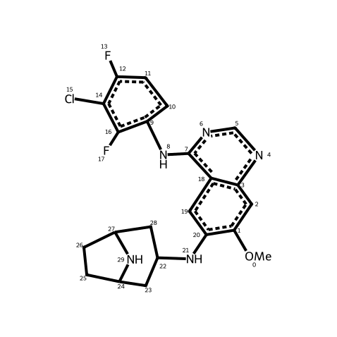 COc1cc2ncnc(Nc3ccc(F)c(Cl)c3F)c2cc1NC1CC2CCC(C1)N2